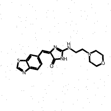 O=C1NC(NCCN2CCOCC2)=NC1=Cc1ccc2ncsc2c1